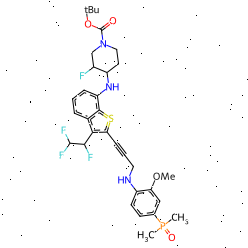 COc1cc(P(C)(C)=O)ccc1NCC#Cc1sc2c(NC3CCN(C(=O)OC(C)(C)C)CC3F)cccc2c1C(F)C(F)F